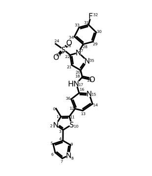 Cc1nc(-c2cccnc2)sc1-c1ccnc(NC(=O)c2cc(S(C)(=O)=O)n(-c3ccc(F)cc3)n2)c1